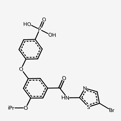 CC(C)Oc1cc(Oc2ccc(P(=O)(O)O)cc2)cc(C(=O)Nc2ncc(Br)s2)c1